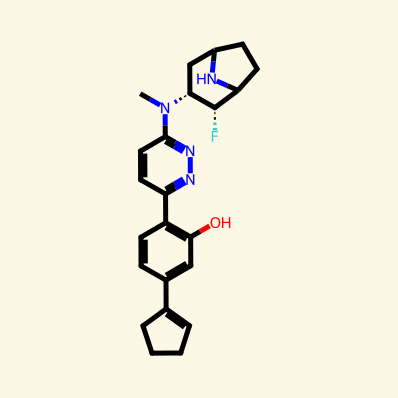 CN(c1ccc(-c2ccc(C3=CCCC3)cc2O)nn1)[C@@H]1CC2CCC(N2)[C@@H]1F